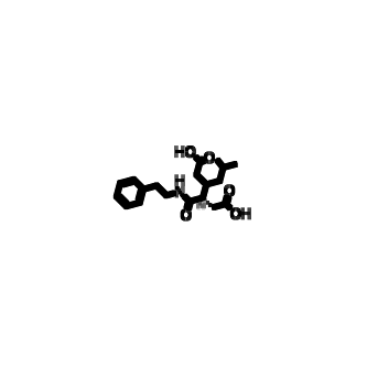 CC(C)CC(CC(=O)O)[C@H](CC(=O)O)C(=O)NCCc1ccccc1